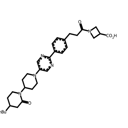 CCCCC1CCN(C2CCN(c3cnc(-c4ccc(CCC(=O)N5CC(C(=O)O)C5)cc4)nc3)CC2)C(=O)C1